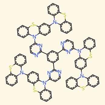 c1ccc2c(c1)Sc1ccccc1N2c1ccc2c(c1)Sc1ccccc1N2c1ccnc(-c2cc(-c3nccc(N4c5ccccc5Sc5cc(N6c7ccccc7Sc7ccccc76)ccc54)n3)cc(-c3nccc(N4c5ccccc5Sc5cc(N6c7ccccc7Sc7ccccc76)ccc54)n3)c2)n1